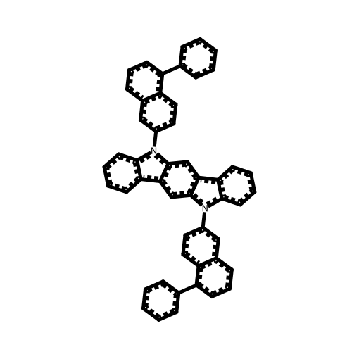 c1ccc(-c2cccc3cc(-n4c5ccccc5c5cc6c(cc54)c4ccccc4n6-c4ccc5c(-c6ccccc6)cccc5c4)ccc23)cc1